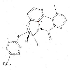 Cc1ccnc(C(=O)N2CC3CC[C@H]2[C@H](Oc2ccc(C(F)(F)F)cn2)C3)c1-c1ncccc1F